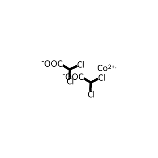 O=C([O-])C(Cl)Cl.O=C([O-])C(Cl)Cl.[Co+2]